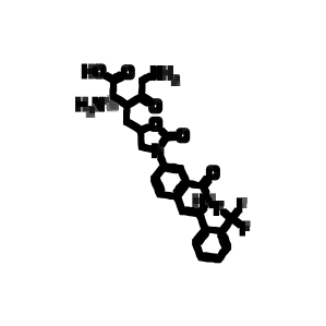 NCC(=O)C(CC1CN(c2ccc3cc(-c4ccccc4C(F)(F)F)[nH]c(=O)c3c2)C(=O)O1)[C@H](N)C(=O)O